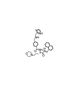 C[C@H](NC(=O)[C@H](CCCN1CCOCC1)NC(=O)c1ccc(CNCc2ncc[nH]2)cc1)c1cccc2ccccc12